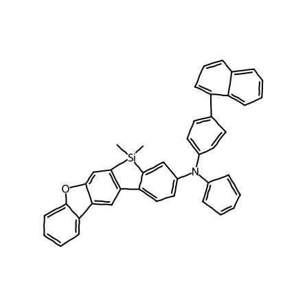 C[Si]1(C)c2cc(N(c3ccccc3)c3ccc(-c4cccc5ccccc45)cc3)ccc2-c2cc3c(cc21)oc1ccccc13